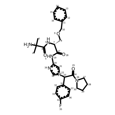 CC(C)(N)C(=O)N[C@H](COCc1ccccc1)C(=O)Nc1cn(C(C(=O)N2CCCC2)c2ccc(F)cc2)cn1